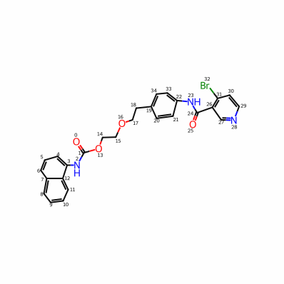 O=C(Nc1cccc2ccccc12)OCCOCCc1ccc(NC(=O)c2cnccc2Br)cc1